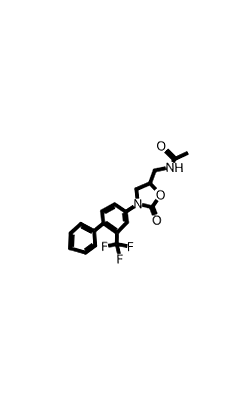 CC(=O)NCC1CN(c2ccc(-c3ccccc3)c(C(F)(F)F)c2)C(=O)O1